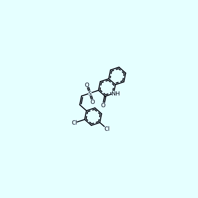 O=c1[nH]c2ccccc2cc1S(=O)(=O)/C=C\c1ccc(Cl)cc1Cl